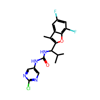 Cc1c(C(NC(=O)Nc2cnc(Cl)nc2)C(C)C)oc2c(F)cc(F)cc12